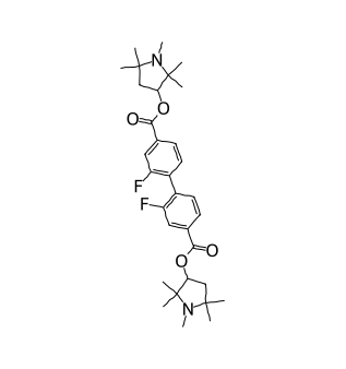 CN1C(C)(C)CC(OC(=O)c2ccc(-c3ccc(C(=O)OC4CC(C)(C)N(C)C4(C)C)cc3F)c(F)c2)C1(C)C